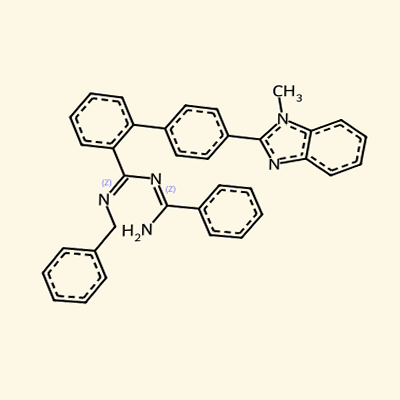 Cn1c(-c2ccc(-c3ccccc3C(/N=C(\N)c3ccccc3)=N/Cc3ccccc3)cc2)nc2ccccc21